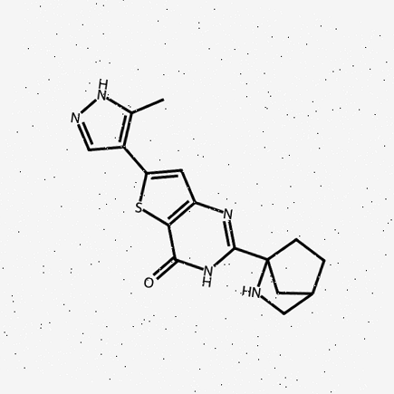 Cc1[nH]ncc1-c1cc2nc(C34CCC(CN3)C4)[nH]c(=O)c2s1